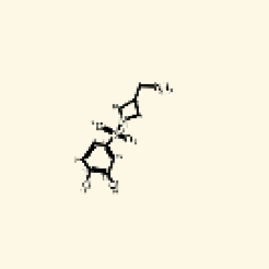 NCC1CN(S(=O)(=O)c2ccc(Cl)c(Cl)c2)C1